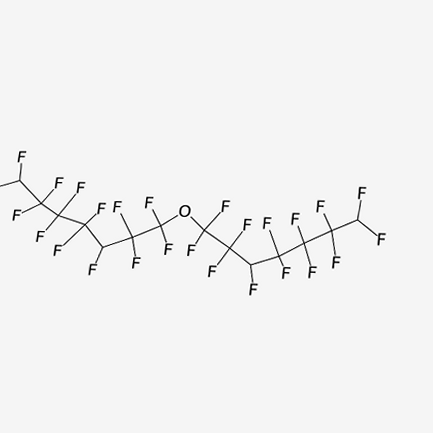 FC(F)C(F)(F)C(F)(F)C(F)(F)C(F)C(F)(F)C(F)(F)OC(F)(F)C(F)(F)C(F)C(F)(F)C(F)(F)C(F)(F)C(F)F